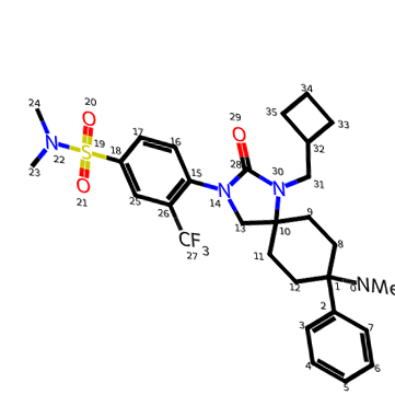 CNC1(c2ccccc2)CCC2(CC1)CN(c1ccc(S(=O)(=O)N(C)C)cc1C(F)(F)F)C(=O)N2CC1CCC1